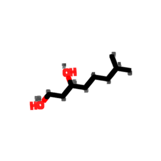 CC(C)CCCC(O)CCO